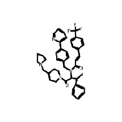 O=C(C(C(I)c1ccccc1)N(Cc1ccc(-c2ccccn2)cc1)C(=O)C=Cc1ccc(C(F)(F)F)cc1)N1CCC(CN2CCCC2)CC1